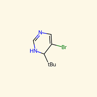 CC(C)(C)C1NC=NC=C1Br